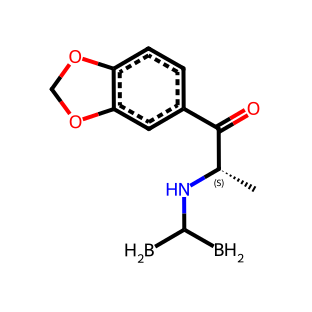 BC(B)N[C@@H](C)C(=O)c1ccc2c(c1)OCO2